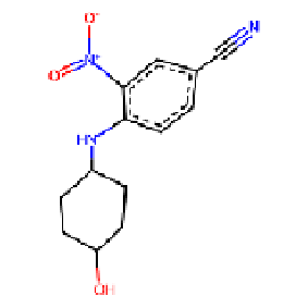 N#Cc1ccc(NC2CCC(O)CC2)c([N+](=O)[O-])c1